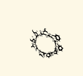 CC[C@H](C)[C@@H]1NC(=O)[C@H](CC(C)C)NC(=O)[C@H](Cc2ccccc2)NC(=O)[C@H](Cc2ccccc2)NC(=O)[C@@H]2CCCN2C(=O)[C@@H]2CCCN2C(=O)[C@H](C(C)C)NC(=O)[C@H](CC(C)C)NC(=O)[C@H]([C@@H](C)CC)NC1=O